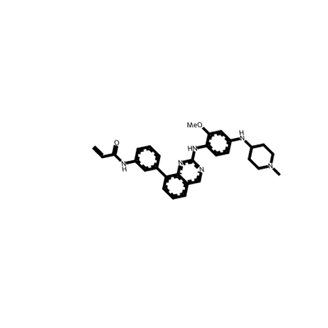 C=CC(=O)Nc1cccc(-c2cccc3cnc(Nc4ccc(NC5CCN(C)CC5)cc4OC)nc23)c1